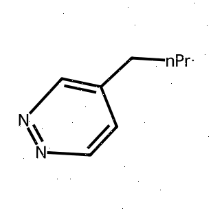 CC[CH]Cc1ccnnc1